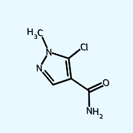 Cn1ncc(C(N)=O)c1Cl